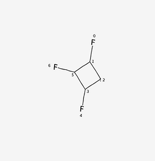 FC1[CH]C(F)C1F